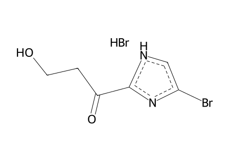 Br.O=C(CCO)c1nc(Br)c[nH]1